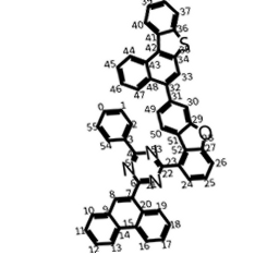 c1ccc(-c2nc(-c3cc4ccccc4c4ccccc34)nc(-c3cccc4oc5cc(-c6cc7sc8ccccc8c7c7ccccc67)ccc5c34)n2)cc1